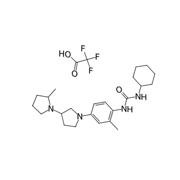 Cc1cc(N2CCC(N3CCCC3C)C2)ccc1NC(=O)NC1CCCCC1.O=C(O)C(F)(F)F